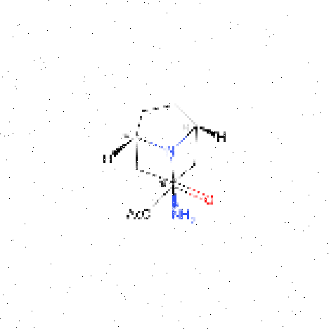 CC(=O)OC(=O)N1[C@@H]2CC[C@H]1C[C@H](N)C2